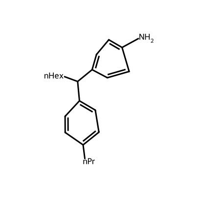 CCCCCCC(c1ccc(N)cc1)c1ccc(CCC)cc1